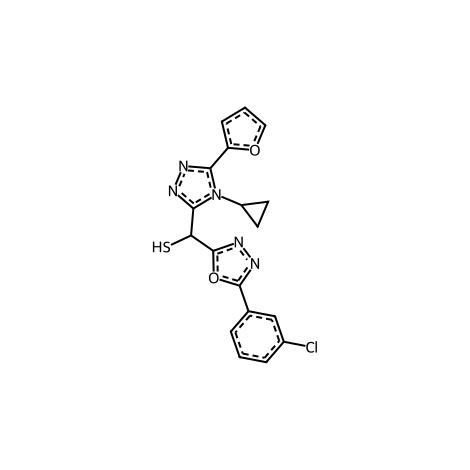 SC(c1nnc(-c2cccc(Cl)c2)o1)c1nnc(-c2ccco2)n1C1CC1